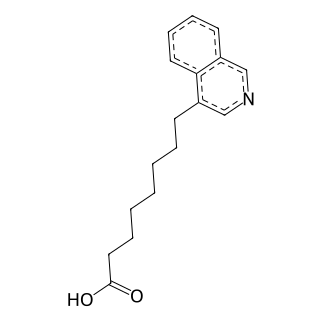 O=C(O)CCCCCCCc1cncc2ccccc12